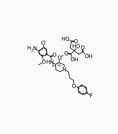 COc1cc(N)c(Cl)cc1C(=O)N[C@@H]1CCN(CCCOc2ccc(F)cc2)C[C@@H]1OC.O=C(O)CC(O)(CC(=O)O)C(=O)O